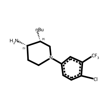 CCCC[C@@H]1CN(c2ccc(Cl)c(C(F)(F)F)c2)CC[C@@H]1N